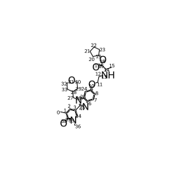 Cc1cc(-c2nc3ccc(OCCNC(C)C(=O)OC4CCCC4)cc3n2CC2CCOCC2)cn(C)c1=O